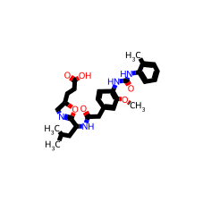 COc1cc(CC(=O)NC(CC(C)C)C2=NCC(CCC(=O)O)O2)ccc1NC(=O)Nc1ccccc1C